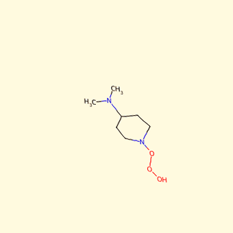 CN(C)C1CCN(OOO)CC1